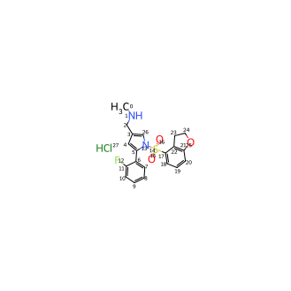 CNCc1cc(-c2ccccc2F)n(S(=O)(=O)c2cccc3c2CCO3)c1.Cl